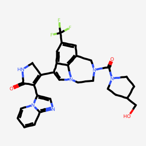 O=C1NCC(c2cn3c4c(cc(C(F)(F)F)cc24)CN(C(=O)N2CCC(CO)CC2)CC3)=C1c1cnc2ccccn12